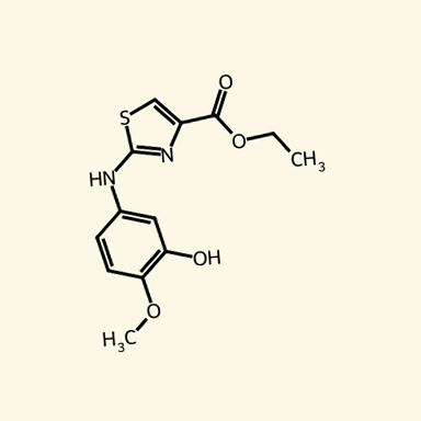 CCOC(=O)c1csc(Nc2ccc(OC)c(O)c2)n1